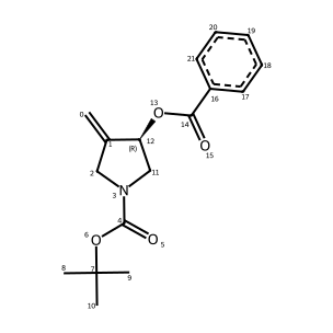 C=C1CN(C(=O)OC(C)(C)C)C[C@@H]1OC(=O)c1ccccc1